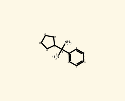 NC(N)(c1ccccc1)C1CCCC1